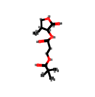 CCC(C)(C)C(=O)OCCC(=O)OC1C(=O)OCC1C